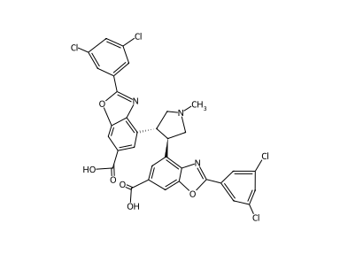 CN1C[C@@H](c2cc(C(=O)O)cc3oc(-c4cc(Cl)cc(Cl)c4)nc23)[C@H](c2cc(C(=O)O)cc3oc(-c4cc(Cl)cc(Cl)c4)nc23)C1